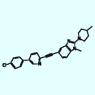 CC1CCN(c2nc3cc(C#Cc4ccc(-c5ccc(Cl)cc5)cn4)ccc3n2C)CC1